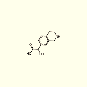 O=C(O)C(O)c1ccc2c(c1)CNCC2